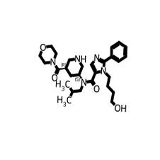 CC(C)CN(C(=O)c1cnc(-c2ccccc2)n1CCCCO)[C@@H]1CNC[C@H](C(=O)N2CCOCC2)C1